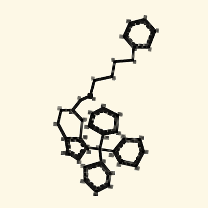 c1ccc(CCCCOCC2CCc3ncn(C(c4ccccc4)(c4ccccc4)c4ccccc4)c3C2)cc1